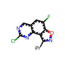 CC(C)c1noc2c(F)cc3cnc(Cl)nc3c12